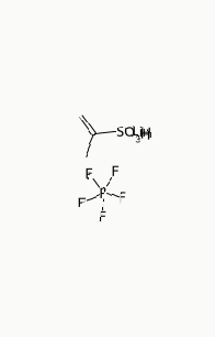 C=C(C)S(=O)(=O)O.FP(F)(F)(F)F.[LiH]